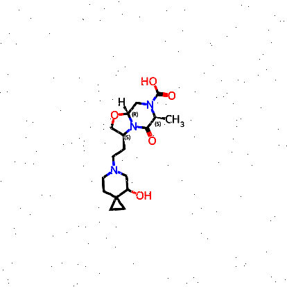 C[C@H]1C(=O)N2[C@@H](CCN3CCC4(CC4)C(O)C3)CO[C@@H]2CN1C(=O)O